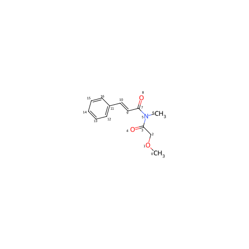 COCC(=O)N(C)C(=O)/C=C/c1ccccc1